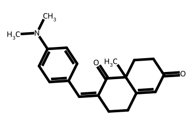 CN(C)c1ccc(C=C2CCC3=CC(=O)CCC3(C)C2=O)cc1